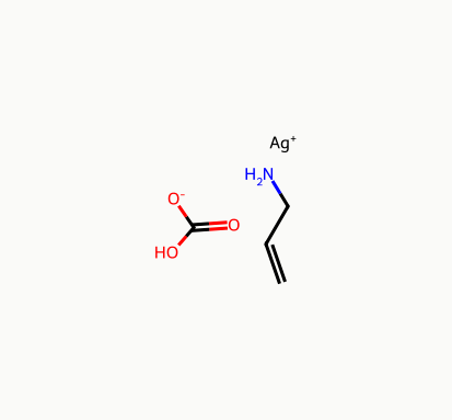 C=CCN.O=C([O-])O.[Ag+]